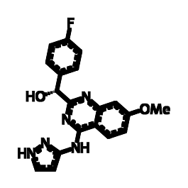 COc1ccc2c(Nc3cc[nH]n3)nc([C@H](O)c3ccc(F)cc3)nc2c1